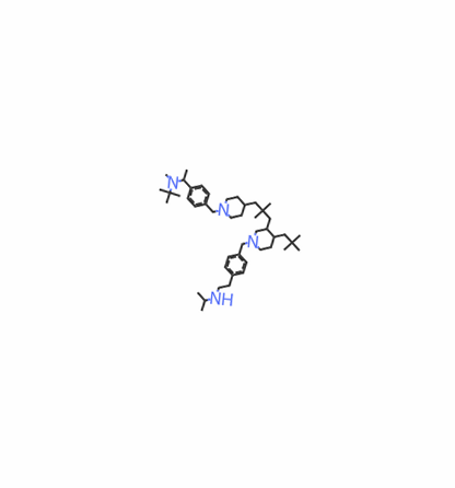 CC(C)NCCc1ccc(CN2CCC(CC(C)(C)C)C(CC(C)(C)CC3CCN(Cc4ccc(C(C)N(C)C(C)(C)C)cc4)CC3)C2)cc1